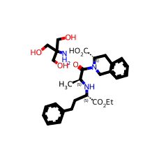 CCOC(=O)[C@H](CCc1ccccc1)N[C@@H](C)C(=O)N1Cc2ccccc2C[C@H]1C(=O)O.NC(CO)(CO)CO